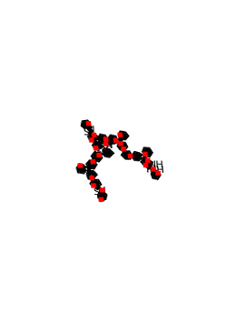 N=C1C=C(N(c2ccccc2)c2ccc(-c3cccc(-c4ccc(N(C5=C/C(=N/Nc6cccc(-c7cc(-c8nc9ccccc9s8)ccc7-c7ccc(N(c8ccccc8)c8ccc(-c9ccc(N(c%10ccccc%10)c%10ccc(-c%11ccc(-c%12nc%13ccccc%13s%12)cc%11)cc%10)cc9)cc8)cc7)c6)C(=N)C=C5)c5ccccc5)cc4)c3)cc2)C=C/C1=N/Nc1ccccc1